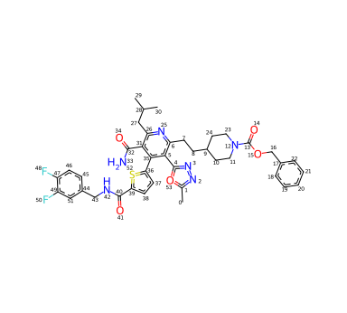 Cc1nnc(-c2c(CCC3CCN(C(=O)OCc4ccccc4)CC3)nc(CC(C)C)c(C(N)=O)c2-c2ccc(C(=O)NCc3ccc(F)c(F)c3)s2)o1